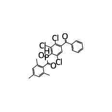 Cc1cc(C)c(C(=O)[PH](=O)c2c(Cl)cc(C(=O)c3ccccc3)c(Cl)c2Cl)c(C)c1